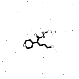 O=C(O)NNC(=O)C(CCCCl)C1CCOCC1